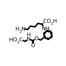 NCCCC[C@H](N)C(=O)O.O=C(O)CNC(=O)OCc1ccccc1